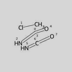 CCl.N=C=O.N=C=O